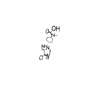 CN(C(=O)O)[C@H]1CC[C@H](c2ncc3c(Cl)nccn32)CC1